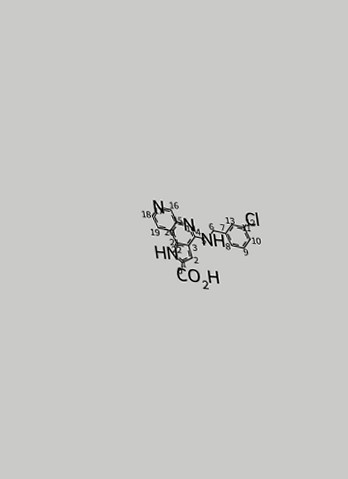 O=C(O)c1cc2c(NCc3cccc(Cl)c3)nc3cnccc3c2[nH]1